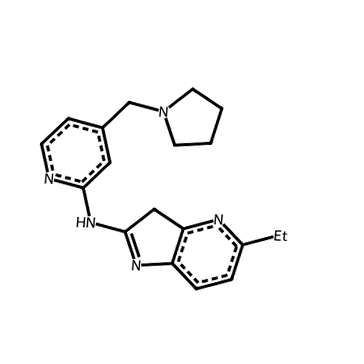 CCc1ccc2c(n1)CC(Nc1cc(CN3CCCC3)ccn1)=N2